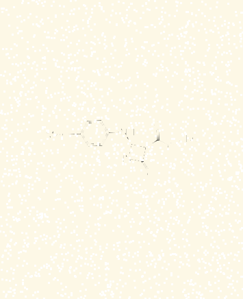 COc1ccc(N[C@@H]2NC(=O)[C@@H]2C(=O)OC(C)(C)C)cc1